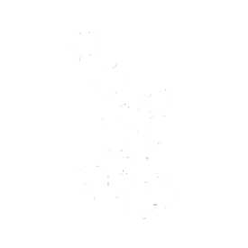 c1ccc(-c2ccc(N(c3ccccc3)c3cccc4c(-n5c6ccccc6c6ccc7ccccc7c65)cccc34)cc2)cc1